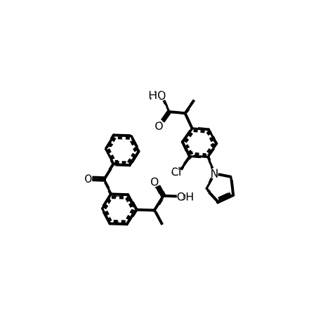 CC(C(=O)O)c1ccc(N2CC=CC2)c(Cl)c1.CC(C(=O)O)c1cccc(C(=O)c2ccccc2)c1